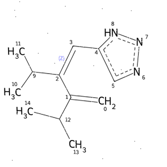 C=C(/C(=C\c1cnn[nH]1)C(C)C)C(C)C